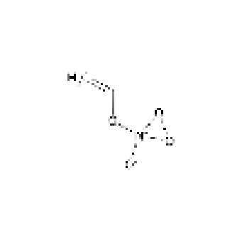 C=CO[N+]1([O-])OO1